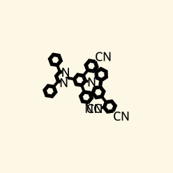 N#Cc1ccc(-c2cc(-c3nc(-c4ccccc4)cc(-c4ccccc4)n3)cc(-c3ccc(C#N)cc3)c2-n2c3ccccc3c3cc(-c4ccc(C#N)cc4C#N)ccc32)cc1